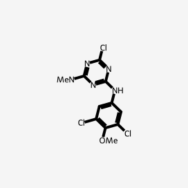 CNc1nc(Cl)nc(Nc2cc(Cl)c(OC)c(Cl)c2)n1